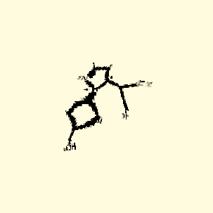 OC1CC(n2nccc2C(F)F)C1